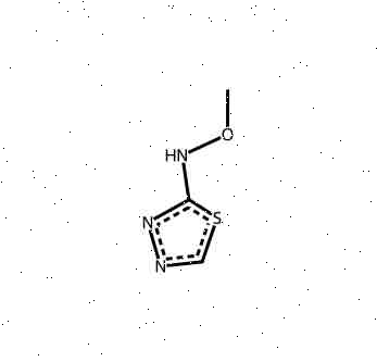 CONc1nncs1